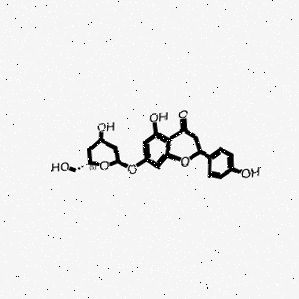 O=C1CC(c2ccc(O)cc2)Oc2cc(OC3CC(O)C[C@@H](CO)O3)cc(O)c21